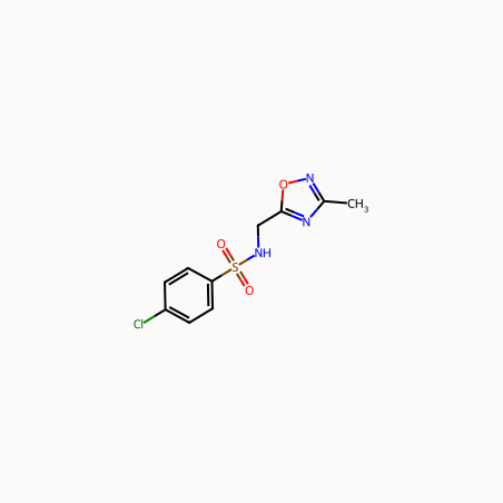 Cc1noc(CNS(=O)(=O)c2ccc(Cl)cc2)n1